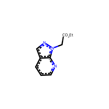 CCOC(=O)Cn1ncc2cccnc21